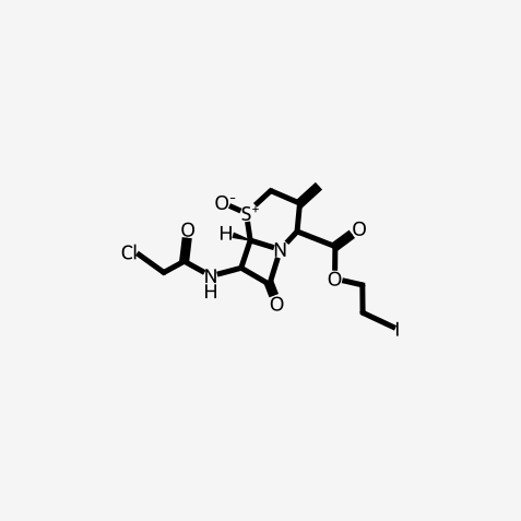 C=C1C[S+]([O-])[C@H]2C(NC(=O)CCl)C(=O)N2C1C(=O)OCCI